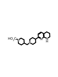 O=C(O)N1CCC(CN2CCC(c3ccc4c(n3)NCCC4)CC2)CC1